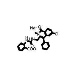 Cn1c(CNC(=O)Nc2ccccc2C(=O)[O-])c(-c2ccccc2)c2cc(Cl)ccc2c1=O.[Na+]